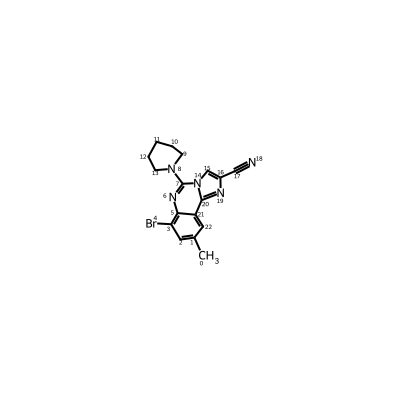 Cc1cc(Br)c2nc(N3CCCCC3)n3cc(C#N)nc3c2c1